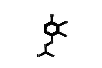 CCC(Br)OOc1ccc(Br)c(Br)c1Br